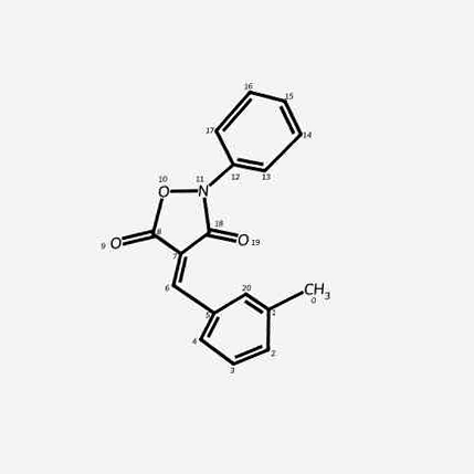 Cc1cccc(C=C2C(=O)ON(c3ccccc3)C2=O)c1